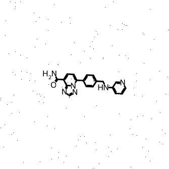 NC(=O)c1ccc(-c2ccc(CNc3cccnc3)cc2)n2n[c]nc12